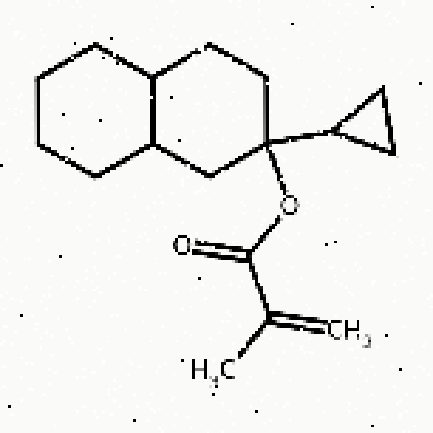 C=C(C)C(=O)OC1(C2CC2)CCC2CCCCC2C1